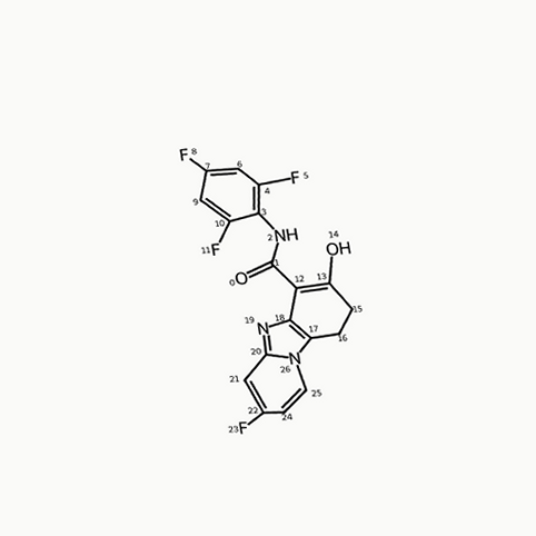 O=C(Nc1c(F)cc(F)cc1F)C1=C(O)CCc2c1nc1cc(F)ccn21